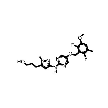 COc1cc(C)c(F)c(COc2cnc(Nc3cc(CCCO)n(C)n3)nc2)c1F